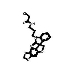 O=C(CCl)NCCCN1C(=O)C2(COc3cc4c(cc32)OCO4)c2ccccc21